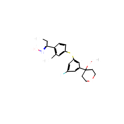 CCC(=NO)c1ccc(Sc2cc(F)cc(C3(OC)CCOCC3)c2)cc1C